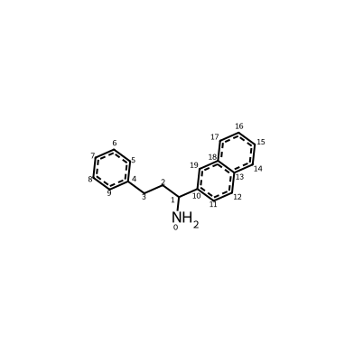 NC(CCc1ccccc1)c1ccc2ccccc2c1